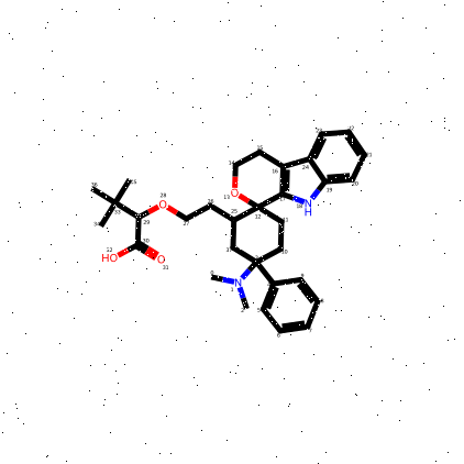 CN(C)C1(c2ccccc2)CCC2(OCCc3c2[nH]c2ccccc32)C(CCOC(C(=O)O)C(C)(C)C)C1